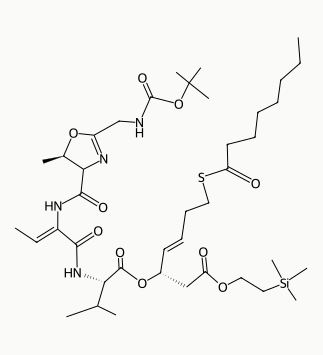 C/C=C(\NC(=O)C1N=C(CNC(=O)OC(C)(C)C)O[C@@H]1C)C(=O)N[C@H](C(=O)O[C@H](/C=C/CCSC(=O)CCCCCCC)CC(=O)OCC[Si](C)(C)C)C(C)C